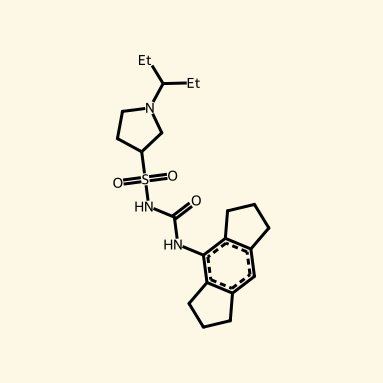 CCC(CC)N1CCC(S(=O)(=O)NC(=O)Nc2c3c(cc4c2CCC4)CCC3)C1